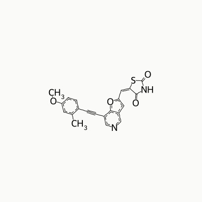 COc1ccc(C#Cc2cncc3cc(C=C4SC(=O)NC4=O)oc23)c(C)c1